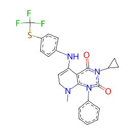 CN1CC=C(Nc2ccc(SC(F)(F)F)cc2)c2c1n(-c1ccccc1)c(=O)n(C1CC1)c2=O